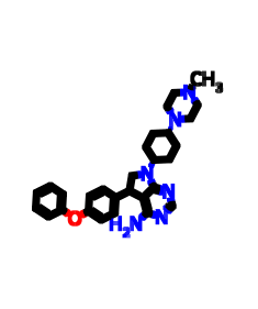 CN1CCN([C@H]2CC[C@H](N3CC(c4ccc(Oc5ccccc5)cc4)c4c(N)ncnc43)CC2)CC1